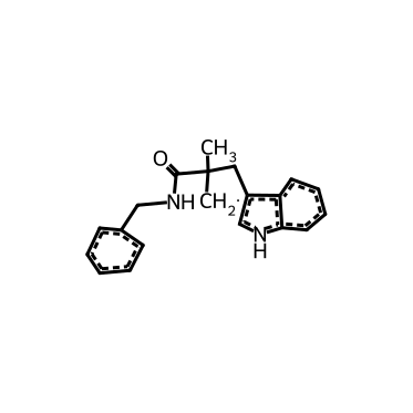 [CH2]C(C)(Cc1c[nH]c2ccccc12)C(=O)NCc1ccccc1